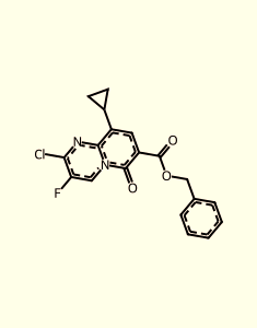 O=C(OCc1ccccc1)c1cc(C2CC2)c2nc(Cl)c(F)cn2c1=O